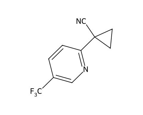 N#CC1(c2ccc(C(F)(F)F)cn2)CC1